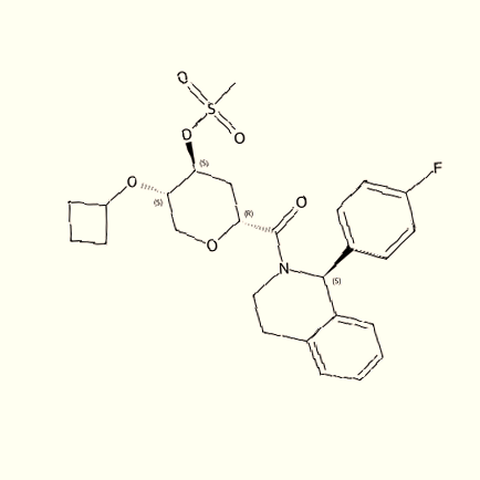 CS(=O)(=O)O[C@H]1C[C@H](C(=O)N2CCc3ccccc3[C@@H]2c2ccc(F)cc2)OC[C@@H]1OC1CCC1